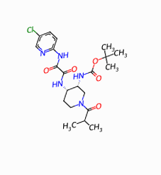 CC(C)C(=O)N1CC[C@H](NC(=O)C(=O)Nc2ccc(Cl)cn2)[C@H](NC(=O)OC(C)(C)C)C1